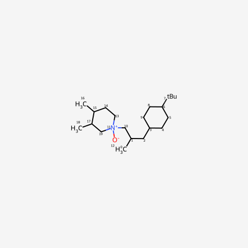 CC(CC1CCC(C(C)(C)C)CC1)C[N+]1([O-])CCC(C)C(C)C1